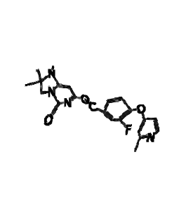 Cc1cc(Oc2ccc(COc3cc4n(c(=O)n3)CC(C)(C)N4C)cc2F)ccn1